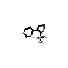 NS(=O)(=O)c1occc1-c1ccncn1